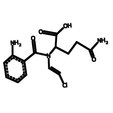 NC(=O)CCC(C(=O)O)N(C=CCl)C(=O)c1ccccc1N